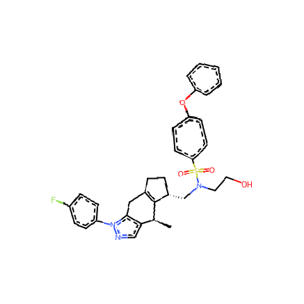 C[C@@H]1C2=C(CC[C@@H]2CN(CCO)S(=O)(=O)c2ccc(Oc3ccccc3)cc2)Cc2c1cnn2-c1ccc(F)cc1